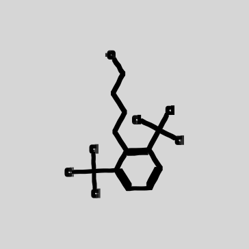 [O]CCCCc1c(C(Cl)(Cl)Cl)cccc1C(Cl)(Cl)Cl